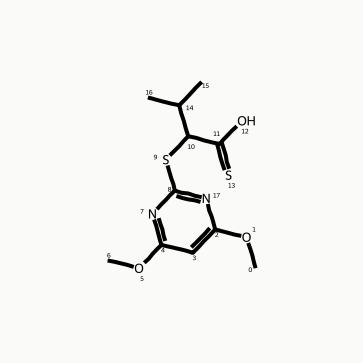 COc1cc(OC)nc(SC(C(O)=S)C(C)C)n1